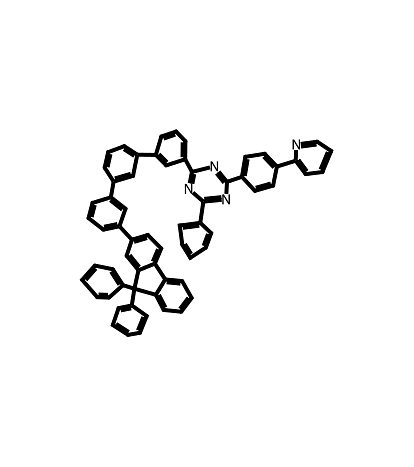 c1ccc(-c2nc(-c3ccc(-c4ccccn4)cc3)nc(-c3cccc(-c4cccc(-c5cccc(-c6ccc7c(c6)C(c6ccccc6)(c6ccccc6)c6ccccc6-7)c5)c4)c3)n2)cc1